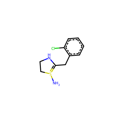 NS1=C(Cc2ccccc2Cl)NCC1